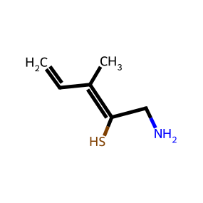 C=C/C(C)=C(\S)CN